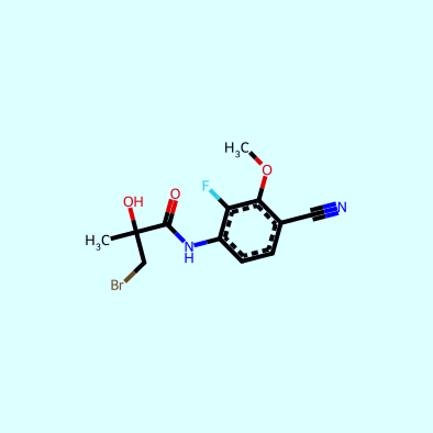 COc1c(C#N)ccc(NC(=O)C(C)(O)CBr)c1F